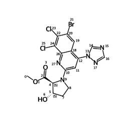 COC(=O)[C@@H]1[C@@H](O)CCN1c1cc(-n2cncn2)c2cc(Br)c(Cl)c(Cl)c2n1